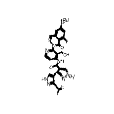 CC(C)(C)c1cc(F)c2c(=O)n(-c3nccc(NC(=O)c4c[nH]nc4-c4c[nH]nc4C(F)F)c3CO)ncc2c1